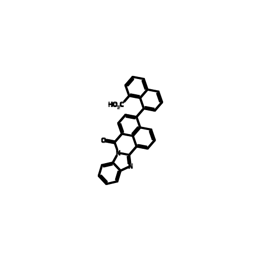 O=C(O)c1cccc2cccc(-c3ccc4c(=O)n5c6ccccc6nc5c5cccc3c45)c12